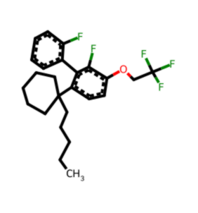 CCCCCC1(c2ccc(OCC(F)(F)F)c(F)c2-c2ccccc2F)CCCCC1